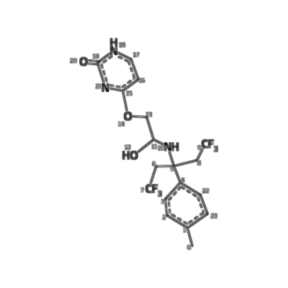 Cc1ccc(C(CC(F)(F)F)(CC(F)(F)F)NC(O)COc2cc[nH]c(=O)n2)cc1